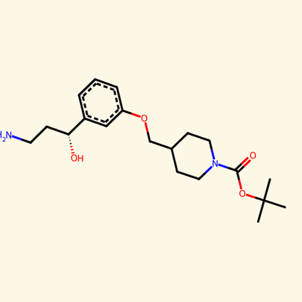 CC(C)(C)OC(=O)N1CCC(COc2cccc([C@H](O)CCN)c2)CC1